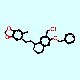 Cc1cc2c(cc1CCC1CCCc3cc(OCc4ccccc4)c(CO)cc31)OCO2